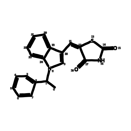 CC(c1ccccc1)n1cc(C=C2SC(=O)NC2=O)c2ccccc21